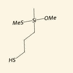 CO[Si](C)(CCCS)SC